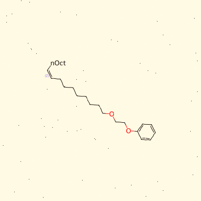 CCCCCCCC/C=C\CCCCCCCCOCCOc1ccccc1